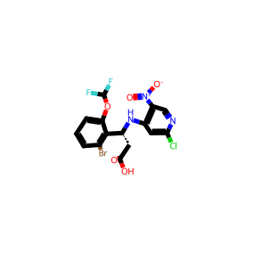 O=C(O)C[C@@H](Nc1cc(Cl)ncc1[N+](=O)[O-])c1c(Br)cccc1OC(F)F